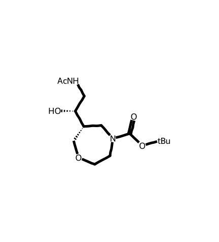 CC(=O)NC[C@@H](O)[C@H]1COCCN(C(=O)OC(C)(C)C)C1